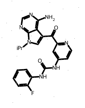 CC(C)n1cc(C(=O)c2cc(NC(=O)Nc3ccccc3F)ccn2)c2c(N)ncnc21